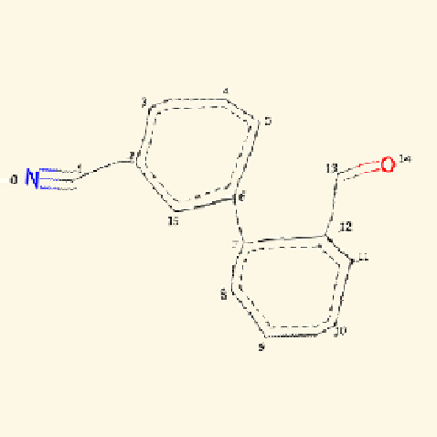 N#Cc1cccc(-c2ccccc2C=O)c1